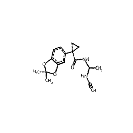 C#CNC(C)NC(=O)C1(c2ccc3c(c2)OC(C)(C)O3)CC1